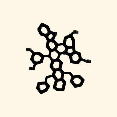 CC(C)(C)c1cc(N2c3cc4c(Cc5ccccc5)c5ccccc5c(Cc5ccccc5)c4cc3B3c4c2cc2c(oc5ccccc52)c4-c2cc(C(C)(C)C)cc4c5cc(C(C)(C)C)ccc5n3c24)cc(C(C)(C)C)c1